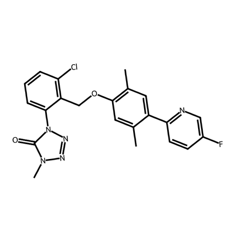 Cc1cc(-c2ccc(F)cn2)c(C)cc1OCc1c(Cl)cccc1-n1nnn(C)c1=O